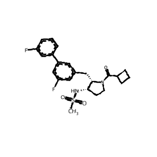 CS(=O)(=O)N[C@H]1CCN(C(=O)C2CCC2)[C@H]1Cc1cc(F)cc(-c2cccc(F)c2)c1